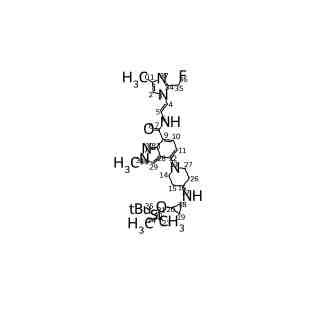 Cc1cn(/C=C/NC(=O)c2ccc(N3CCC(N[C@@H]4C[C@H]4O[Si](C)(C)C(C)(C)C)CC3)c3cn(C)nc23)c(CF)n1